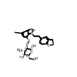 Cc1cc(OO[C@@H]2[C@@H](O)[C@H](O)[C@@H](CO)O[C@H]2O)c2c(c1)nnn2CCc1ccc2c(c1)CCO2